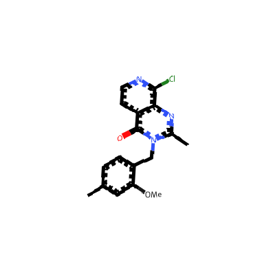 COc1cc(C)ccc1Cn1c(C)nc2c(Cl)nccc2c1=O